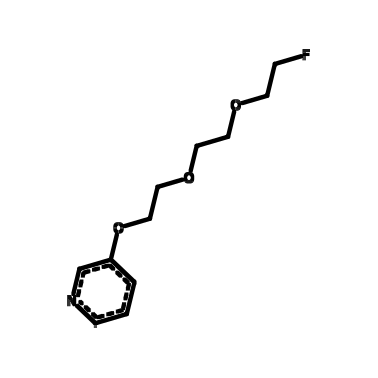 FCCOCCOCCOc1cc[c]nc1